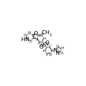 Cc1cc(S(=O)(=O)c2cccc(-n3cccn3)c2)cc2c3c(oc12)CCNC3